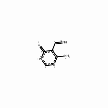 N=Cc1c(N)nc[nH]c1=O